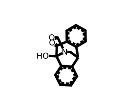 O=CN1CC2c3ccccc3C(=O)C1(O)c1ccccc12